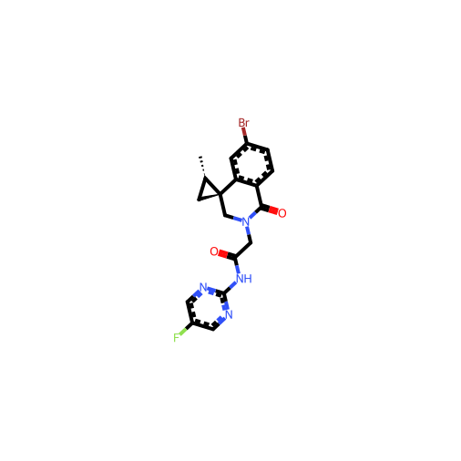 C[C@H]1C[C@@]12CN(CC(=O)Nc1ncc(F)cn1)C(=O)c1ccc(Br)cc12